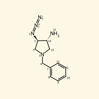 [N-]=[N+]=N[C@@H]1CN(Cc2ccccc2)C[C@H]1N